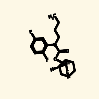 CCCCN(C(=O)O[C@H]1CN2CCC1CC2)c1cc(F)ccc1F